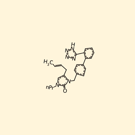 C/C=C/Cc1cn(CCC)c(=O)n1Cc1ccc(-c2ccccc2-c2nnn[nH]2)cc1